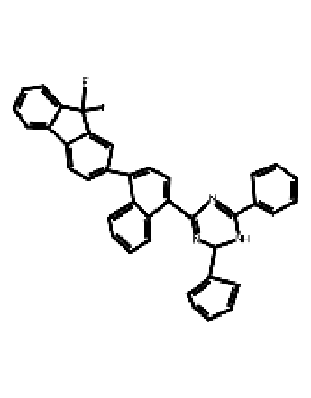 FC1(F)c2ccccc2-c2ccc(-c3ccc(C4=NC(c5ccccc5)NC(c5ccccc5)=N4)c4ccccc34)cc21